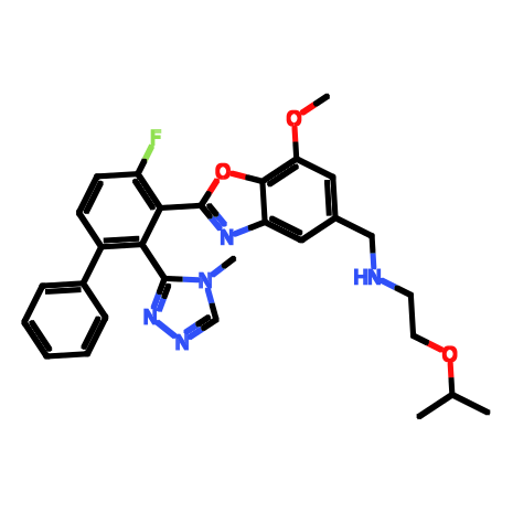 COc1cc(CNCCOC(C)C)cc2nc(-c3c(F)ccc(-c4ccccc4)c3-c3nncn3C)oc12